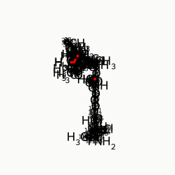 CC[C@@H](C)[C@H]([C@H](CC(=O)N1CCC[C@@H]1[C@@H](OC)[C@H](C)C(=O)N[C@@H](C)[C@H](O)c1ccccc1)OC)N(C)C(=O)C(NC(=O)[C@@H](C(C)C)N(C)C(=O)OCc1ccc(NC(=O)[C@H](CCCNC(N)=O)NC(=O)[C@@H](NC(=O)CCOCCNC(=O)[C@H](CS(=O)(=O)O)NC(=O)CCOCCOCCOCCOCCC(=O)NCCNc2ncc(-c3cc(C)cc(F)c3)c(N3CCC(N)CC3)c2-c2nc3ccc(Cl)cc3[nH]2)C(C)C)cc1)C(C)C